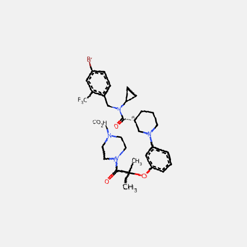 CC(C)(Oc1cccc(N2CCC[C@@H](C(=O)N(Cc3ccc(Br)cc3C(F)(F)F)C3CC3)C2)c1)C(=O)N1CCN(C(=O)O)CC1